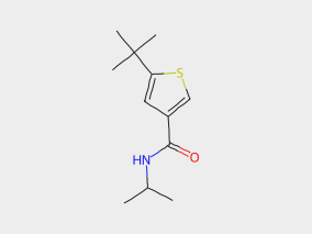 CC(C)NC(=O)c1csc(C(C)(C)C)c1